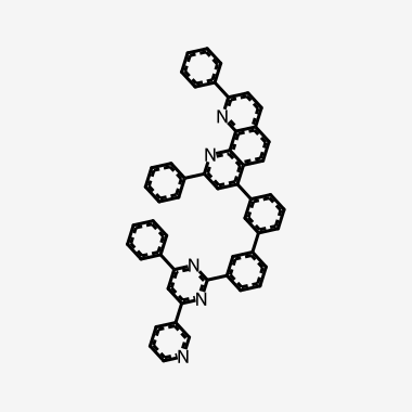 c1ccc(-c2cc(-c3cccnc3)nc(-c3cccc(-c4cccc(-c5cc(-c6ccccc6)nc6c5ccc5ccc(-c7ccccc7)nc56)c4)c3)n2)cc1